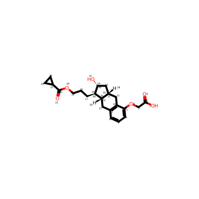 O=C(O)COc1cccc2c1C[C@H]1C[C@@H](O)[C@H](CCCOC(=O)C3CC3)[C@H]1C2